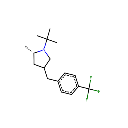 C[C@H]1CC(Cc2ccc(C(F)(F)F)cc2)CN1C(C)(C)C